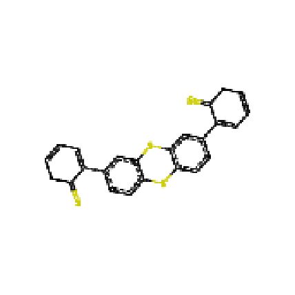 S=C1CC=CC=C1c1ccc2c(c1)Sc1cc(C3=CC=CCC3=S)ccc1S2